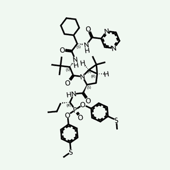 CCC[C@H](NC(=O)[C@@H]1C[C@H]2[C@@H](N1C(=O)[C@@H](NC(=O)[C@@H](NC(=O)c1cnccn1)C1CCCCC1)C(C)(C)C)C2(C)C)P(=O)(Oc1ccc(SC)cc1)Oc1ccc(SC)cc1